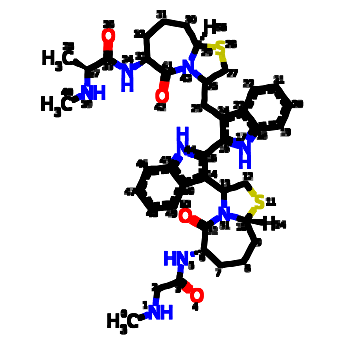 CNCC(=O)N[C@H]1CCC[C@H]2SCC(c3c(-c4[nH]c5ccccc5c4CC4CS[C@@H]5CCC[C@H](NC(=O)[C@H](C)NC)C(=O)N45)[nH]c4ccccc34)N2C1=O